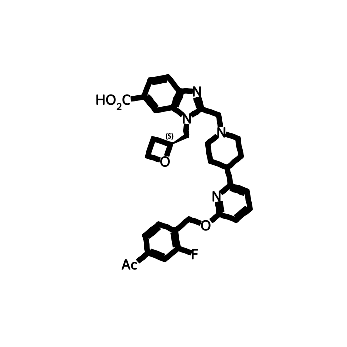 CC(=O)c1ccc(COc2cccc(C3CCN(Cc4nc5ccc(C(=O)O)cc5n4C[C@@H]4CCO4)CC3)n2)c(F)c1